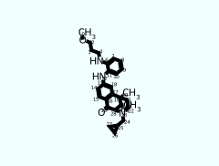 COCCCNc1ccccc1Nc1ccc2c(c1)[C@]1(C)CCN(CC3CC3)C(C2=O)[C@@H]1C